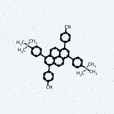 C[Si](C)(C)c1ccc(-c2cc(-c3ccc(C#N)cc3)c3ccc4c(-c5ccc([Si](C)(C)C)cc5)cc(-c5ccc(C#N)cc5)c5ccc2c3c54)cc1